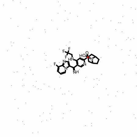 N=C(c1cnc(C(=O)N2C3CCC2CC(O)C3)cc1NCC(F)(F)F)c1cnc2c(F)cccn12